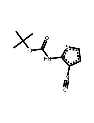 [C-]#[N+]c1ccsc1NC(=O)OC(C)(C)C